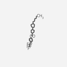 CCCCCCC1CCC(C2CCC(C(=O)Oc3ccc(OC(F)C(F)(F)F)cc3)CC2)CC1